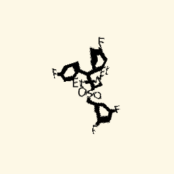 CCN1CC(S(=O)(=O)Cc2cc(F)cc(F)c2)C1(CC)C(c1ccc(F)cc1)c1ccc(F)cc1